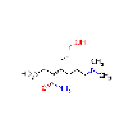 CN(C)CCCC(CCCO)=C(CS(=O)(=O)O)C(N)=O